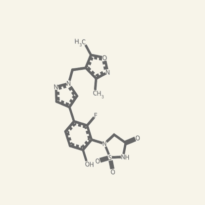 Cc1noc(C)c1Cn1cc(-c2ccc(O)c(N3CC(=O)NS3(=O)=O)c2F)cn1